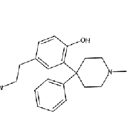 CN1CCC(c2ccccc2)(c2cc(CCN)ccc2O)CC1